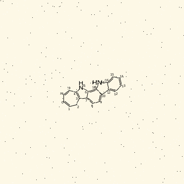 C1=CCc2c([nH]c3c2ccc2c4ccccc4[nH]c23)C=C1